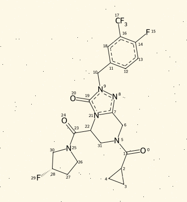 O=C(C1CC1)N1Cc2nn(Cc3ccc(F)c(C(F)(F)F)c3)c(=O)n2C(C(=O)N2CC[C@H](F)C2)C1